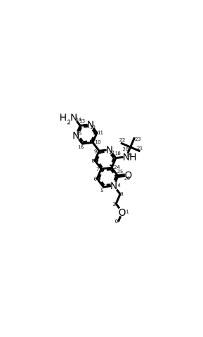 COCCn1ccc2cc(-c3cnc(N)nc3)nc(NC(C)(C)C)c2c1=O